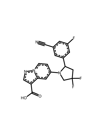 N#Cc1cc(F)cc(C2CC(F)(F)CN2c2ccn3ncc(C(=O)O)c3c2)c1